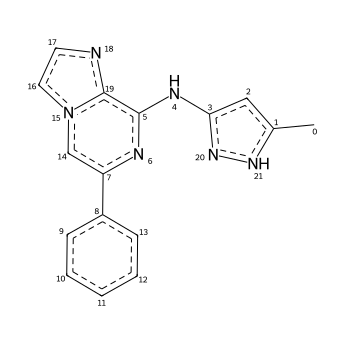 Cc1cc(Nc2nc(-c3ccccc3)cn3ccnc23)n[nH]1